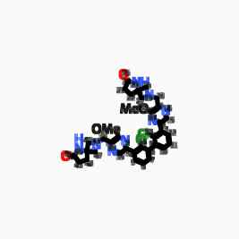 COc1nc(-c2cccc(-c3cccc(-c4cnc(CN5CC6(CCC(=O)N6)C5)c(OC)n4)c3Cl)c2Cl)cnc1CN1CC2(CCC(=O)N2)C1